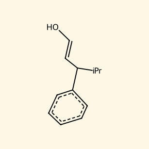 CC(C)C(C=CO)c1ccccc1